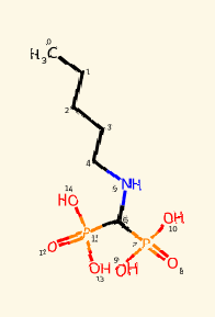 CCCCCNC(P(=O)(O)O)P(=O)(O)O